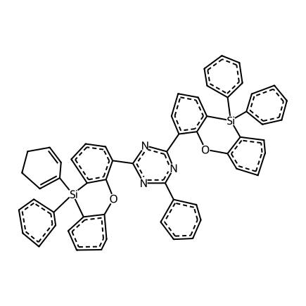 C1=CC([Si]2(c3ccccc3)c3ccccc3Oc3c(-c4nc(-c5ccccc5)nc(-c5cccc6c5Oc5ccccc5[Si]6(c5ccccc5)c5ccccc5)n4)cccc32)=CCC1